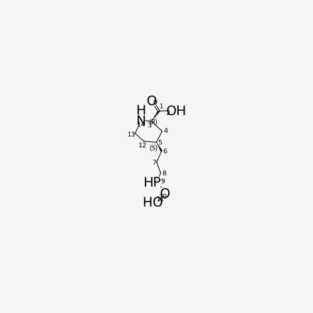 O=C(O)[C@H]1C[C@@H](CCCPOO)CCN1